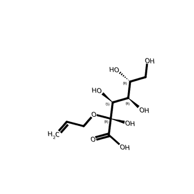 C=CCO[C@@](O)(C(=O)O)[C@@H](O)[C@H](O)[C@H](O)CO